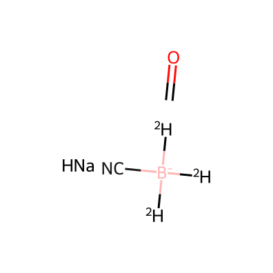 C=O.[2H][B-]([2H])([2H])C#N.[NaH]